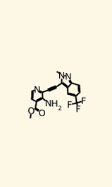 COC(=O)c1ccnc(C#Cc2c3cc(C(F)(F)F)ccc3nn2C)c1N